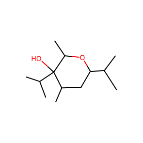 CC(C)C1CC(C)C(O)(C(C)C)C(C)O1